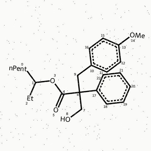 CCCCCC(CC)OC(=O)C(CO)(Cc1ccc(OC)cc1)c1ccccc1